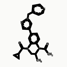 CC(=O)N1c2ccc(-c3cnn(Cc4ccncc4)c3)cc2N(C(=O)C2CC2)CC1C